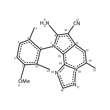 COc1ccc(C)c(-n2c(N)c(C#N)c3cc(C)n4ncnc4c32)c1C